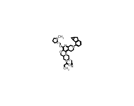 C=CC(=O)N1CC2COc3c(OC[C@@H]4CCCN4C)nc4c(c3N2C[C@@H]1CC#N)CCN(c1cccc2c1C1CC1C2)C4